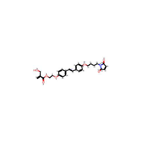 C=C(CO)C(=O)OCCOc1ccc(/C=C/c2ccc(OCCCCN3C(=O)C=CC3=O)cc2)cc1